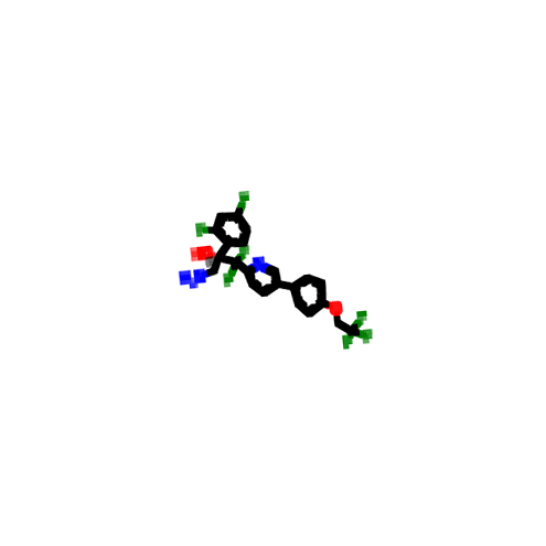 NC[C@@](O)(c1ccc(F)cc1F)C(F)(F)c1ccc(-c2ccc(OCC(F)(F)F)cc2)cn1